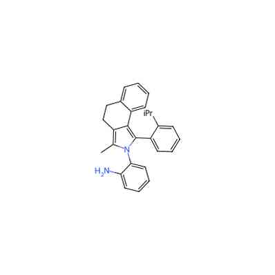 Cc1c2c(c(-c3ccccc3C(C)C)n1-c1ccccc1N)-c1ccccc1CC2